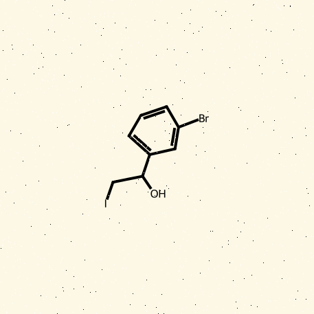 OC(CI)c1cccc(Br)c1